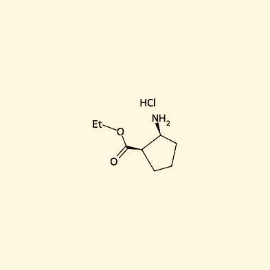 CCOC(=O)[C@@H]1CCC[C@@H]1N.Cl